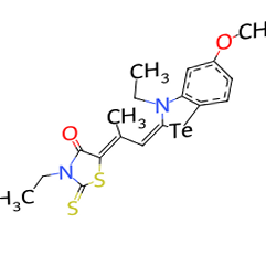 CCN1C(=O)C(=C(C)C=C2[Te]c3ccc(OC)cc3N2CC)SC1=S